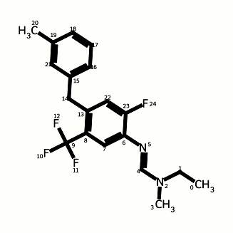 CCN(C)C=Nc1cc(C(F)(F)F)c(Cc2cccc(C)c2)cc1F